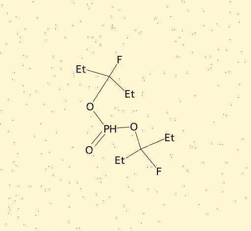 CCC(F)(CC)O[PH](=O)OC(F)(CC)CC